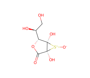 O=C1O[C@H]([C@@H](O)CO)[C@@]2(O)[S+]([O-])[C@@]12O